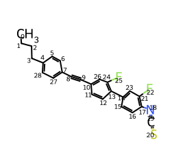 CCCCc1ccc(C#Cc2ccc(-c3ccc(N=C=S)c(F)c3)c(F)c2)cc1